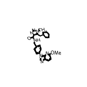 COc1ccc2ncn(-c3ccc(CNC(=O)c4nnn(C)c4Cc4ccccc4)cc3)c2n1